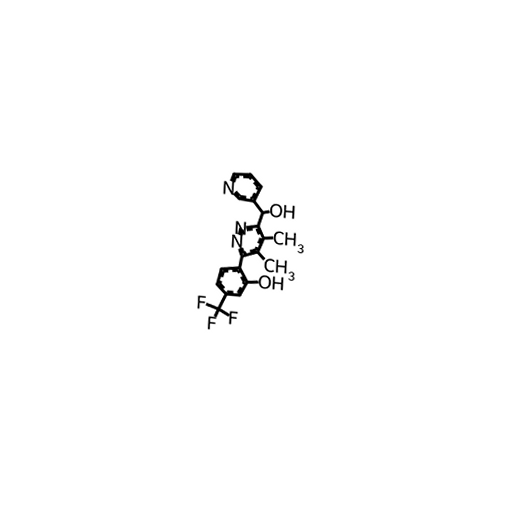 Cc1c(-c2ccc(C(F)(F)F)cc2O)nnc(C(O)c2cccnc2)c1C